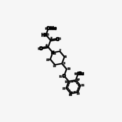 CONC(=O)C(=O)N1CCC(COc2ccccc2C(C)(C)C)CC1